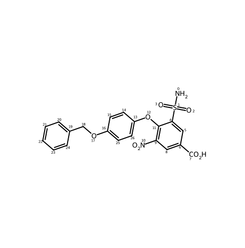 NS(=O)(=O)c1cc(C(=O)O)cc([N+](=O)[O-])c1Oc1ccc(OCc2ccccc2)cc1